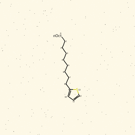 CCCCCCCCCCCCCCC[CH]c1cccs1